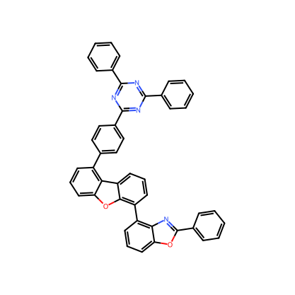 c1ccc(-c2nc(-c3ccccc3)nc(-c3ccc(-c4cccc5oc6c(-c7cccc8oc(-c9ccccc9)nc78)cccc6c45)cc3)n2)cc1